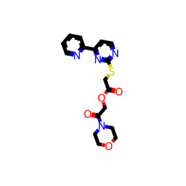 O=C(CSc1nccc(-c2ccccn2)n1)OCC(=O)N1CCOCC1